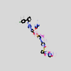 CC1(C)CCC(CN2CCN(c3ccc(C(=O)NS(=O)(=O)c4ccc(NCC5CCN(C(=O)CSc6cccc7c6CN(C6CCC(=O)NC6=O)C7=O)CC5)c([N+](=O)[O-])c4)c(Oc4cnc5[nH]ccc5c4)c3)CC2)=C(c2ccc(Cl)cc2)C1